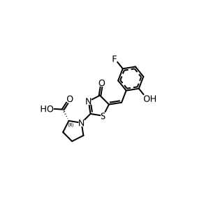 O=C1N=C(N2CCC[C@@H]2C(=O)O)SC1=Cc1cc(F)ccc1O